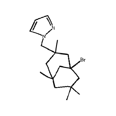 CC1(C)CC2(C)CC(C)(Cn3cccn3)CC(Br)(C1)C2